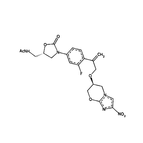 C=C(CO[C@@H]1COc2nc([N+](=O)[O-])cn2C1)c1ccc(N2C[C@H](CNC(C)=O)OC2=O)cc1F